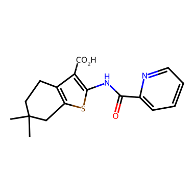 CC1(C)CCc2c(sc(NC(=O)c3ccccn3)c2C(=O)O)C1